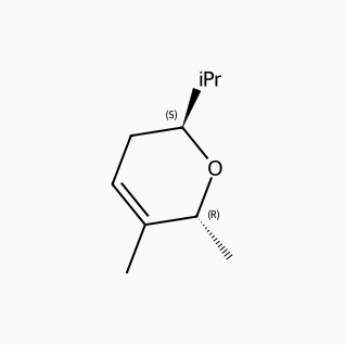 CC1=CC[C@@H](C(C)C)O[C@@H]1C